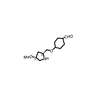 CO[C@@H]1CN[C@H](COC2CCC(C=O)CC2)C1